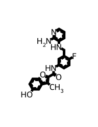 Cc1c(C(=O)Nc2ccc(F)c(CNc3cccnc3N)c2)oc2ccc(O)cc12